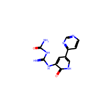 N=C(NC(N)=O)Nc1cc(-c2ccncn2)c[nH]c1=O